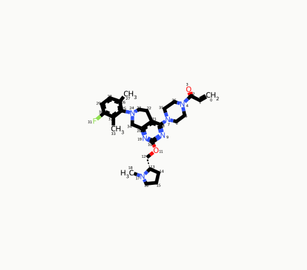 C=CC(=O)N1CCN(c2nc(OC[C@@H]3CCCN3C)nc3c2CCN(c2c(C)ccc(F)c2C)C3)CC1